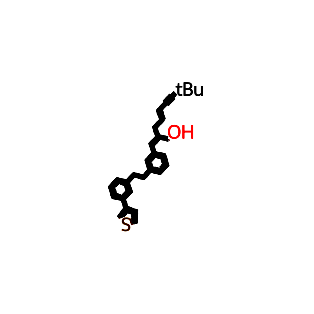 CC(C)(C)C#CC=CCC(=Cc1cccc(CCc2cccc(-c3ccsc3)c2)c1)CO